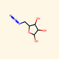 [N-]=[N+]=NCC1OC(O)C(O)C1O